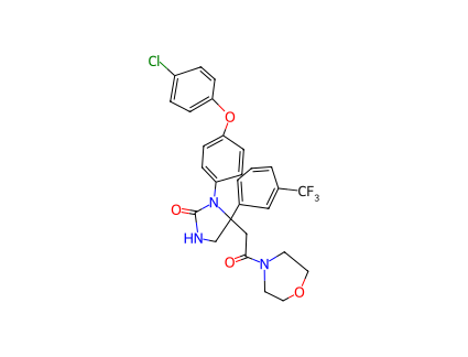 O=C(CC1(c2cccc(C(F)(F)F)c2)CNC(=O)N1c1ccc(Oc2ccc(Cl)cc2)cc1)N1CCOCC1